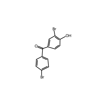 O=C(c1ccc(Br)cc1)c1ccc(O)c(Br)c1